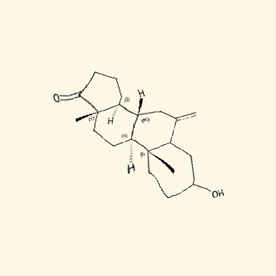 C=C1C[C@@H]2[C@H](CC[C@]3(C)C(=O)CC[C@@H]23)[C@@]2(C)CCC(O)CC12